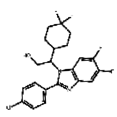 OCC(C1CCC(F)(F)CC1)n1c(-c2ccc(Cl)cc2)nc2cc(F)c(F)cc21